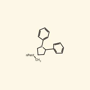 CCCCCC.c1ccc(C2CCCP2c2ccccc2)cc1